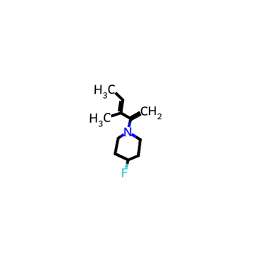 C=C(/C(C)=C/C)N1CCC(F)CC1